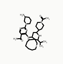 CC(=O)N1CCC(C2CC(Nc3nc(N4CCC[C@H](N)C4)ncc3C(N)=O)C3(CCCCCCCC3)C(C(C)C)N2)CC1